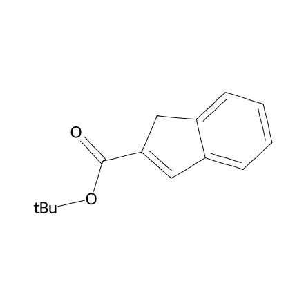 CC(C)(C)OC(=O)C1=Cc2ccccc2C1